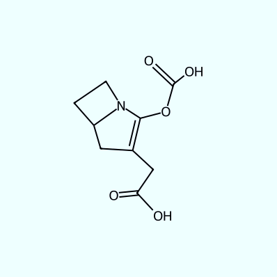 O=C(O)CC1=C(OC(=O)O)N2CCC2C1